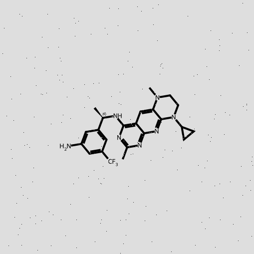 Cc1nc(N[C@H](C)c2cc(N)cc(C(F)(F)F)c2)c2cc3c(nc2n1)N(C1CC1)CCN3C